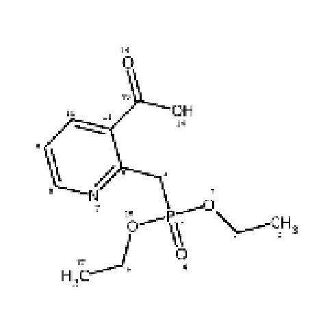 CCOP(=O)(Cc1ncccc1C(=O)O)OCC